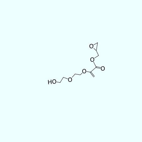 C=C(OCCOCCO)C(=O)OCC1CO1